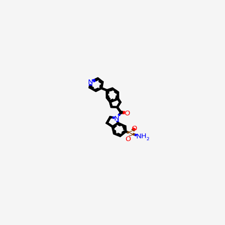 NS(=O)(=O)c1ccc2c(c1)N(C(=O)C1Cc3ccc(-c4ccncc4)cc3C1)CC2